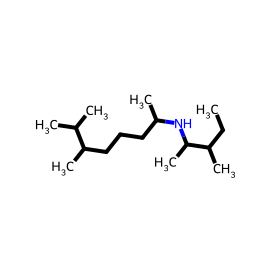 CCC(C)C(C)NC(C)CCCC(C)C(C)C